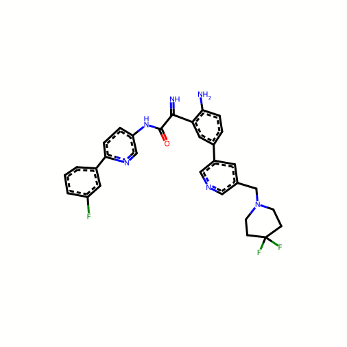 N=C(C(=O)Nc1ccc(-c2cccc(F)c2)nc1)c1cc(-c2cncc(CN3CCC(F)(F)CC3)c2)ccc1N